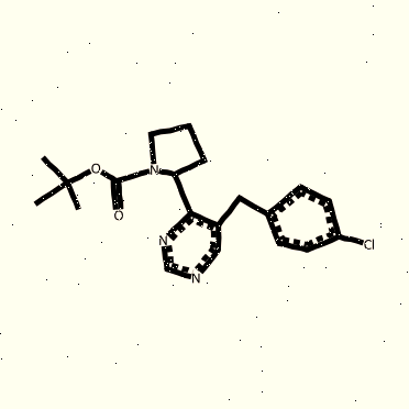 CC(C)(C)OC(=O)N1CCCC1c1ncncc1Cc1ccc(Cl)cc1